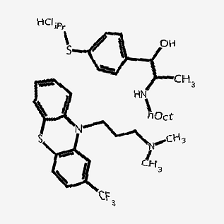 CCCCCCCCNC(C)C(O)c1ccc(SC(C)C)cc1.CN(C)CCCN1c2ccccc2Sc2ccc(C(F)(F)F)cc21.Cl